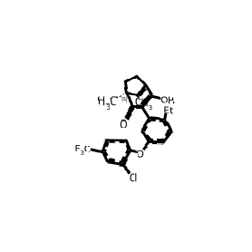 CCc1ccc(Oc2ccc(C(F)(F)F)cc2Cl)cc1C1=C(O)C2=C(C)[C@](C)(CC2)C1=O